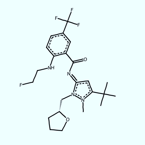 Cn1c(C(C)(C)C)cc(=NC(=O)c2cc(C(F)(F)F)ccc2NCCF)n1C[C@H]1CCCO1